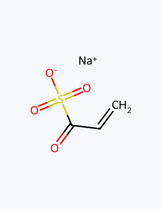 C=CC(=O)S(=O)(=O)[O-].[Na+]